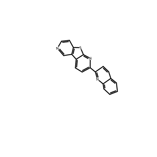 c1ccc2nc(-c3ccc4c(n3)sc3ccncc34)ccc2c1